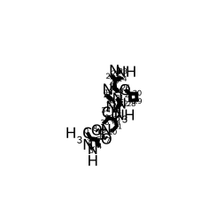 Cc1n[nH]cc1S(=O)(=O)N1CC[C@H](Nc2nc3cnc(-c4cn[nH]c4)c(OC4CCC4)n3n2)[C@H](C)C1